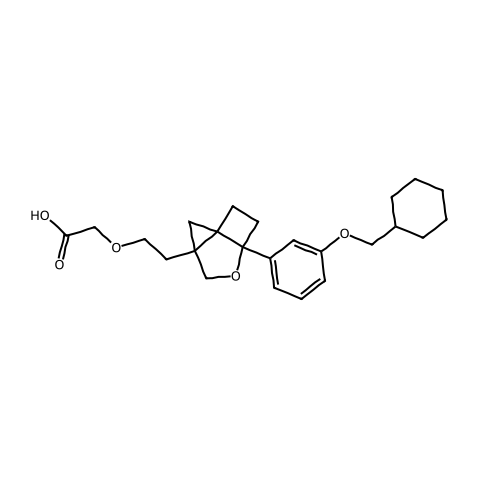 O=C(O)COCCC12COC3(c4cccc(OCC5CCCCC5)c4)CCC13C2